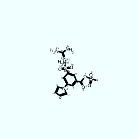 CS(=O)(=O)OC(=O)c1cc(-n2cccc2)cc(S(N)(=O)=O)c1.N=C(N)N